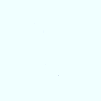 N[C@H](CCP=S)C(=O)O